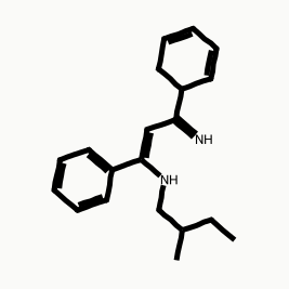 CCC(C)CN/C(=C\C(=N)C1C=CC=CC1)c1ccccc1